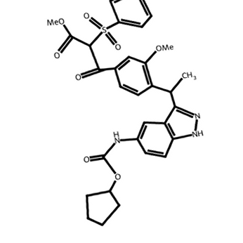 COC(=O)C(C(=O)c1ccc(C(C)c2n[nH]c3ccc(NC(=O)OC4CCCC4)cc23)c(OC)c1)S(=O)(=O)c1ccccc1